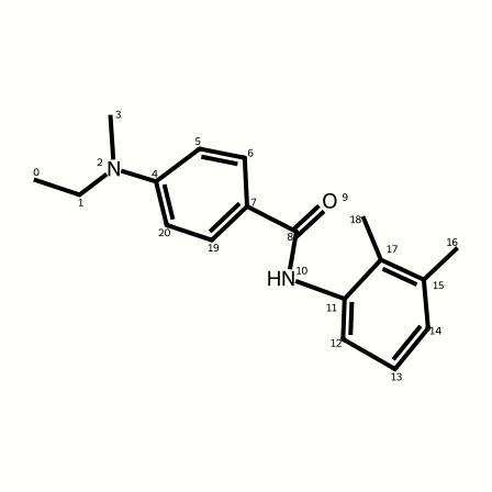 CCN(C)c1ccc(C(=O)Nc2cccc(C)c2C)cc1